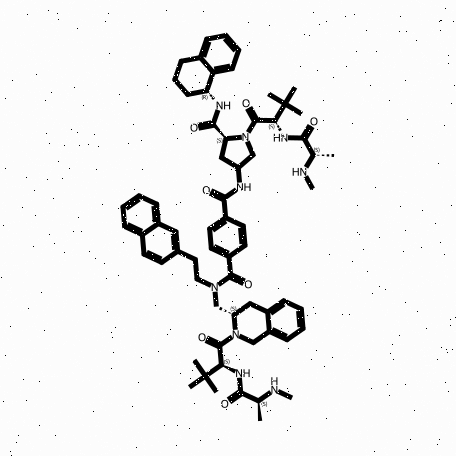 CN[C@@H](C)C(=O)N[C@H](C(=O)N1Cc2ccccc2C[C@H]1CN(CCc1ccc2ccccc2c1)C(=O)c1ccc(C(=O)NC2C[C@@H](C(=O)N[C@@H]3CCCc4ccccc43)N(C(=O)[C@@H](NC(=O)[C@H](C)NC)C(C)(C)C)C2)cc1)C(C)(C)C